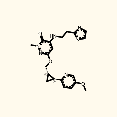 COc1ccc([C@H]2C[C@@H]2COc2cc(NCCc3nccs3)c(=O)n(C)n2)nc1